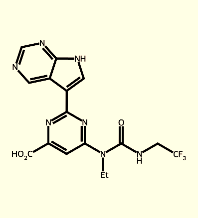 CCN(C(=O)NCC(F)(F)F)c1cc(C(=O)O)nc(-c2c[nH]c3ncncc23)n1